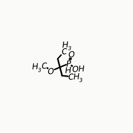 CCC(CC)(OC)[PH](=O)O